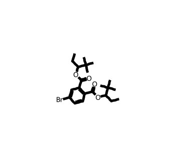 CCC(OC(=O)c1ccc(Br)cc1C(=O)OC(CC)C(C)(C)C)C(C)(C)C